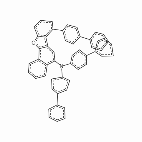 c1ccc(-c2ccc(-c3cccc4oc5c6ccccc6c(N(c6ccc(-c7ccccc7)cc6)c6ccc(-c7ccccc7)cc6)cc5c34)cc2)cc1